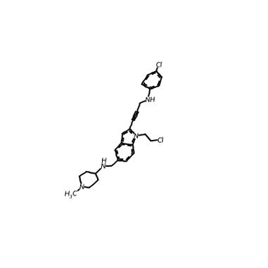 CN1CCC(NCc2ccc3c(c2)cc(C#CCNc2ccc(Cl)cc2)n3CCCl)CC1